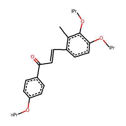 CCCOc1ccc(C(=O)/C=C/c2ccc(OC(C)C)c(OC(C)C)c2C)cc1